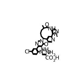 CC1CCCC(n2cnc(-c3cc(Cl)ccc3N(N)/C=C(\N)C(=O)O)cc2=O)c2ccnc(c2)-c2c(cnn2C)NC1=O